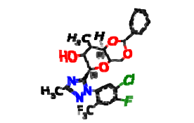 Cc1nc([C@@H]2OC3COC(c4ccccc4)O[C@@H]3C(C)C2O)n(-c2cc(Cl)c(F)cc2C(F)(F)F)n1